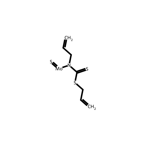 C=CCSC(=S)[N](CC=C)[Mo]=[S]